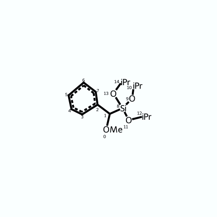 COC(c1ccccc1)[Si](OC(C)C)(OC(C)C)OC(C)C